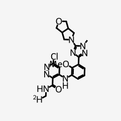 [2H]CNC(=O)c1nnc(Cl)cc1Nc1cccc(-c2nc(N3CC4COCC4C3)n(C)n2)c1OC